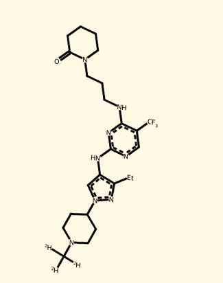 [2H]C([2H])([2H])N1CCC(n2cc(Nc3ncc(C(F)(F)F)c(NCCCN4CCCCC4=O)n3)c(CC)n2)CC1